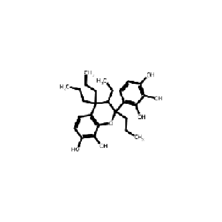 CCCC1(CCC)c2ccc(O)c(O)c2OC(CCC)(c2ccc(O)c(O)c2O)C1CC